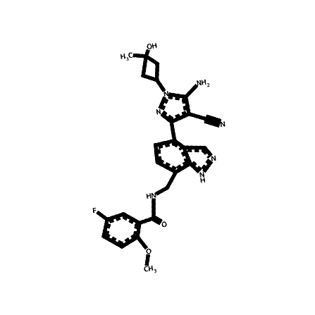 COc1ccc(F)cc1C(=O)NCc1ccc(-c2nn(C3CC(C)(O)C3)c(N)c2C#N)c2cn[nH]c12